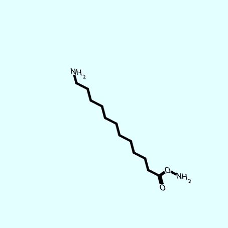 NCCCCCCCCCCCC(=O)ON